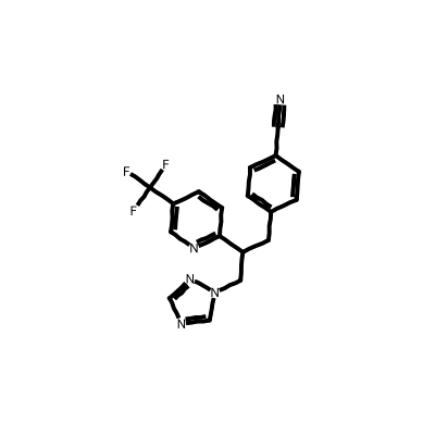 N#Cc1ccc(CC(Cn2cncn2)c2ccc(C(F)(F)F)cn2)cc1